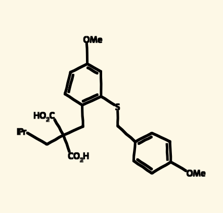 COc1ccc(CSc2cc(OC)ccc2CC(CC(C)C)(C(=O)O)C(=O)O)cc1